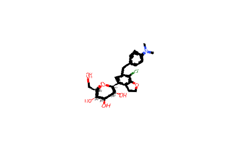 CN(C)c1ccc(Cc2cc([C@@H]3O[C@H](CO)[C@@H](O)[C@H](O)[C@H]3O)c3c(c2Cl)OCC3)cc1